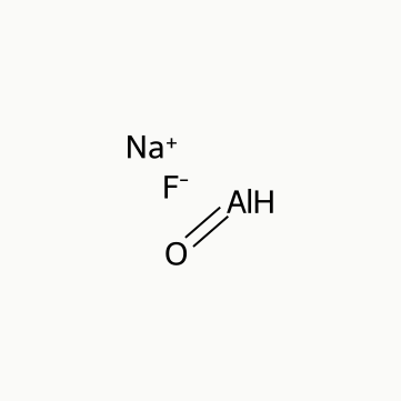 [F-].[Na+].[O]=[AlH]